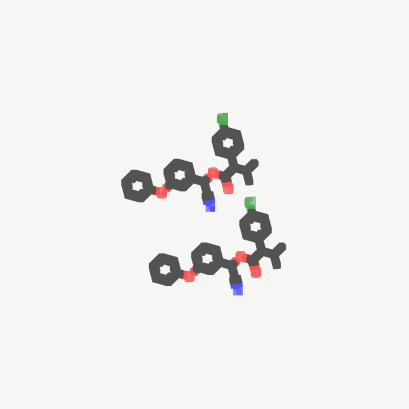 CC(C)C(C(=O)OC(C#N)c1cccc(Oc2ccccc2)c1)c1ccc(Cl)cc1.CC(C)C(C(=O)OC(C#N)c1cccc(Oc2ccccc2)c1)c1ccc(Cl)cc1